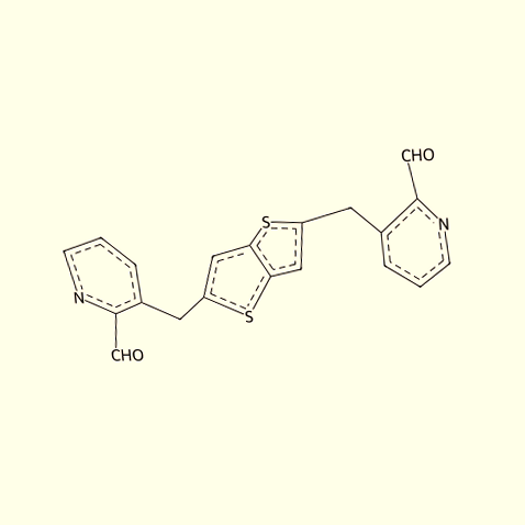 O=Cc1ncccc1Cc1cc2sc(Cc3cccnc3C=O)cc2s1